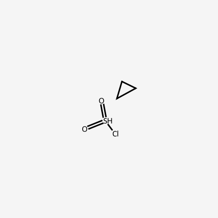 C1CC1.O=[SH](=O)Cl